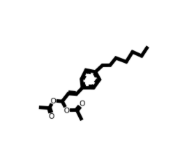 CCCCCCCc1ccc(C=CC(OC(C)=O)OC(C)=O)cc1